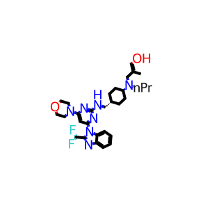 CCCN(C/C(C)=C/O)[C@H]1CC[C@H](CNc2nc(N3CCOCC3)cc(-n3c(C(F)F)nc4ccccc43)n2)CC1